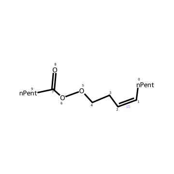 CCCCC/C=C\CCOOC(=O)CCCCC